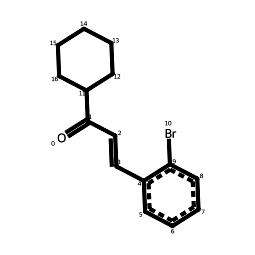 O=C(/C=C/c1ccccc1Br)C1CCCCC1